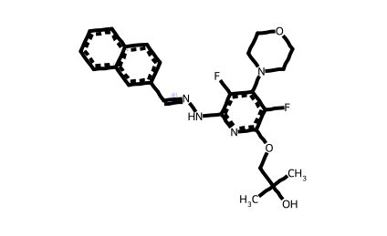 CC(C)(O)COc1nc(N/N=C/c2ccc3ccccc3c2)c(F)c(N2CCOCC2)c1F